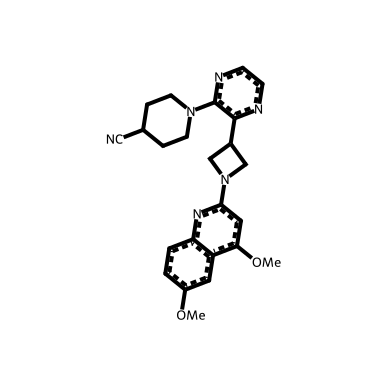 COc1ccc2nc(N3CC(c4nccnc4N4CCC(C#N)CC4)C3)cc(OC)c2c1